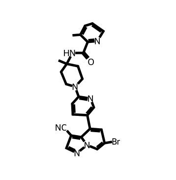 Cc1cccnc1C(=O)NC1(C)CCN(c2ccc(-c3cc(Br)cn4ncc(C#N)c34)cn2)CC1